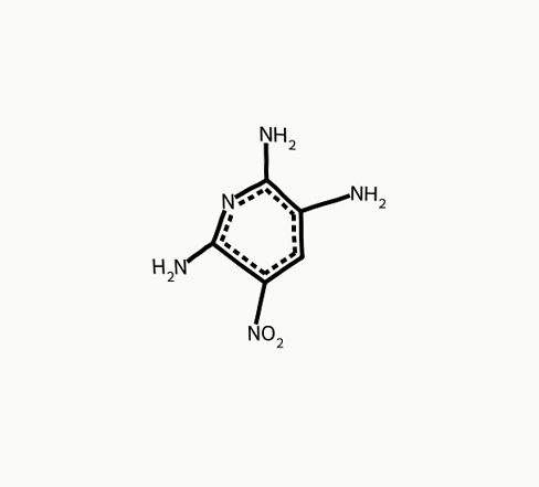 Nc1cc([N+](=O)[O-])c(N)nc1N